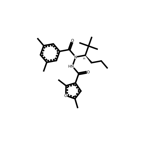 CCC[C@@H](N(NC(=O)c1cc(C)oc1C)C(=O)c1cc(C)cc(C)c1)C(C)(C)C